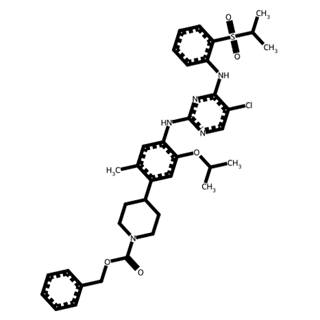 Cc1cc(Nc2ncc(Cl)c(Nc3ccccc3S(=O)(=O)C(C)C)n2)c(OC(C)C)cc1C1CCN(C(=O)OCc2ccccc2)CC1